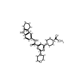 CC(=O)N1CCN(c2cc(C(=O)Nc3ccc4[nH]c5c(c4c3)CCCC5)nc(N3CCOCC3)n2)CC1